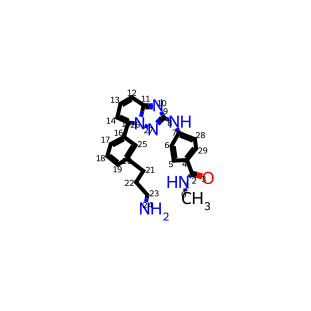 CNC(=O)c1ccc(Nc2nc3cccc(-c4cccc(CCCN)c4)n3n2)cc1